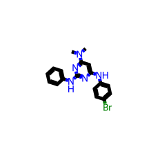 CN(C)c1cc(Nc2ccc(Br)cc2)nc(Nc2ccccc2)n1